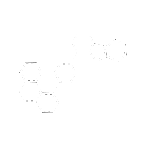 c1ccc2c(c1)ccc1cccc(-c3ccc(-c4cccc5c4oc4ccccc45)cc3)c12